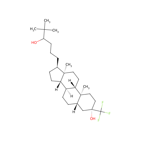 CC(C)(C)C(O)CCC[C@@H]1CC[C@H]2[C@@H]3CC[C@H]4C[C@](O)(C(F)(F)F)CC[C@]4(C)[C@H]3CC[C@]12C